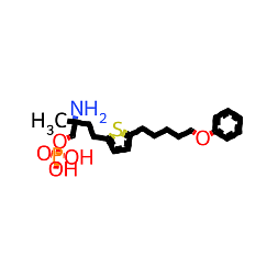 CC(N)(CCc1ccc(CCCCCOc2ccccc2)s1)COP(=O)(O)O